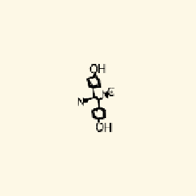 [C-]#[N+]/C(=C(/C#N)c1ccc(O)cc1)c1ccc(O)cc1